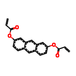 C=CC(=O)Oc1ccc2cc3ccc(OC(=O)C=C)cc3cc2c1